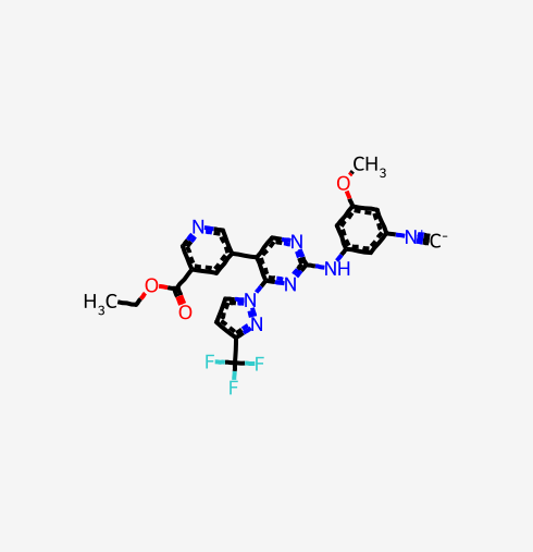 [C-]#[N+]c1cc(Nc2ncc(-c3cncc(C(=O)OCC)c3)c(-n3ccc(C(F)(F)F)n3)n2)cc(OC)c1